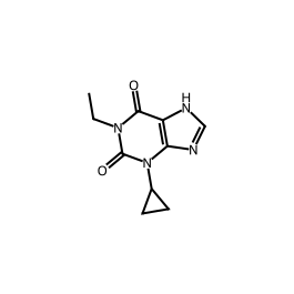 CCn1c(=O)c2[nH]cnc2n(C2CC2)c1=O